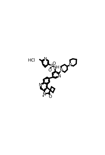 Cc1ccc(S(=O)(=O)Nc2cc(-c3ccc4ncc5c(c4c3)C3(CCC3)C(=O)N5C)cnc2N2CCC(N3CCCCC3)CC2)cn1.Cl